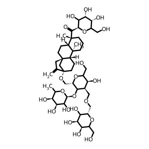 C=C1C[C@@]23CC[C@H]4[C@@](C)(CCC[C@@]4(C)C(=O)[C@@H]4OC(CO)[C@@H](O)[C@@H](O)C4O)[C@@H]2CC[C@]1(OC[C@@H]1OC(CO)[C@@H](O)[C@@H](COC[C@@H]2OC(CO)[C@@H](O)[C@@H](O)C2O)C1O[C@@H]1OC(C)[C@H](O)[C@H](O)C1O)C3